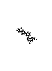 CC(C)c1cc(=O)n2ncc(-c3cncc(-c4ccc(N5CCCC5=O)cc4)c3)c2[nH]1